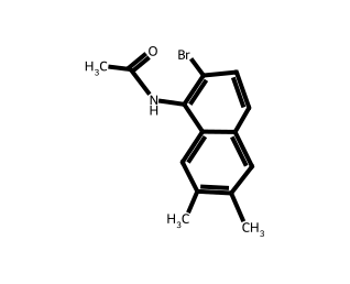 CC(=O)Nc1c(Br)ccc2cc(C)c(C)cc12